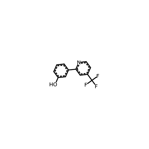 Oc1cccc(-c2cc(C(F)(F)F)ccn2)c1